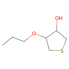 CCCOC1CSCC1O